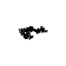 [2H]C([2H])([2H])N1C(=O)c2cccc(OC(F)F)c2[C@H]2C[C@@H]1c1nc3ccc(C#CC4(C)CN(C(=O)C(C)(C)O)C4)cc3n12